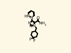 NC(=O)c1c(N2C=CC=CN2)nnn1CC1CCC(F)(F)CC1